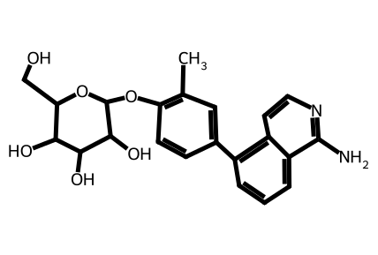 Cc1cc(-c2cccc3c(N)nccc23)ccc1OC1OC(CO)C(O)C(O)C1O